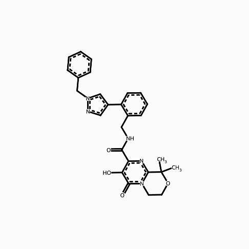 CC1(C)OCCn2c1nc(C(=O)NCc1ccccc1-c1cnn(Cc3ccccc3)c1)c(O)c2=O